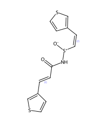 O=C(/C=C/c1ccsc1)N[S+]([O-])/C=C\c1ccsc1